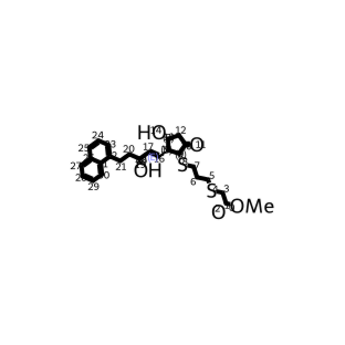 COC(=O)CSCCCS[C@H]1C(=O)C[C@@H](O)[C@@H]1/C=C/[C@@H](O)CCc1cccc2ccccc12